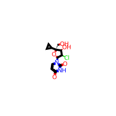 O=c1ccn(C2O[C@@](CO)(C3CC3)[C@@H](O)[C@H]2Cl)c(=O)[nH]1